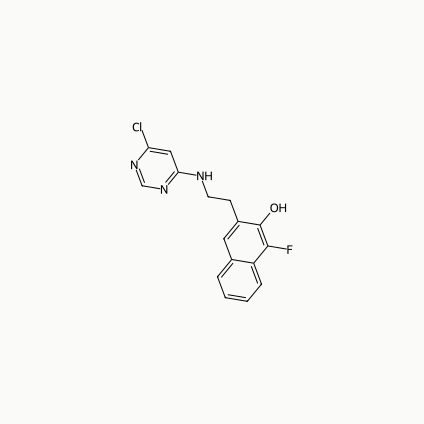 Oc1c(CCNc2cc(Cl)ncn2)cc2ccccc2c1F